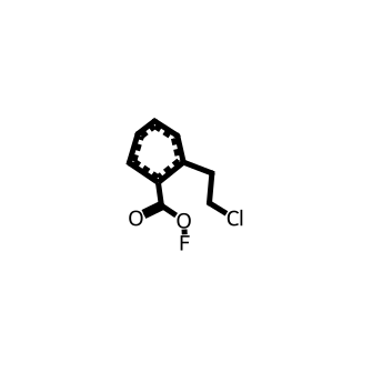 O=C(OF)c1ccccc1CCCl